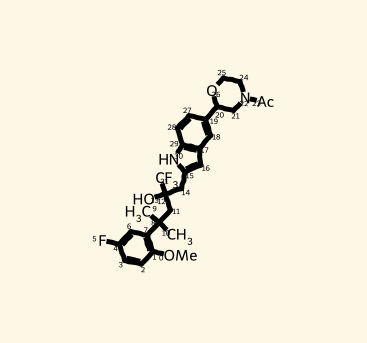 COc1ccc(F)cc1C(C)(C)CC(O)(Cc1cc2cc(C3CN(C(C)=O)CCO3)ccc2[nH]1)C(F)(F)F